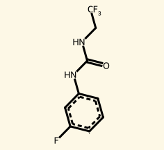 O=C(NCC(F)(F)F)Nc1cc[c]c(F)c1